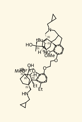 CCc1ccc(OCCOc2ccc3c(c2O)[C@]24CC(C3)CN(CC3CC3)C[C@]23CC[C@@](OC)(C4)[C@@H]([C@](C)(O)C(C)(C)C)C3)c2c1[C@@]1(CC)C(O2)[C@]2(OC)CC[C@]1(CNCC1CC1)C[C@@H]2[C@](C)(O)C(C)(C)C